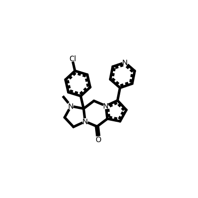 CN1CCN2C(=O)c3ccc(-c4ccncc4)n3CC12c1ccc(Cl)cc1